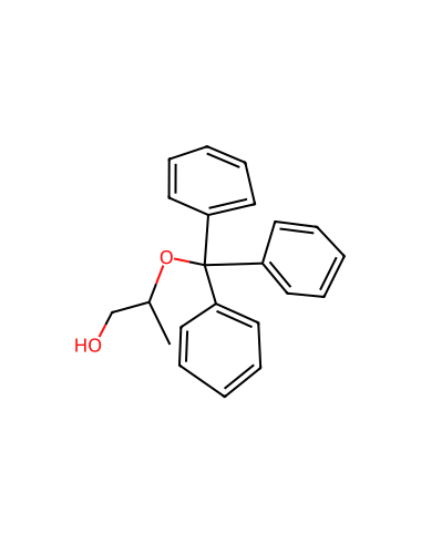 CC(CO)OC(c1ccccc1)(c1ccccc1)c1ccccc1